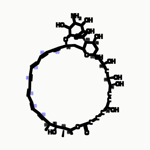 CC1OC(O[C@H]2/C=C/C=C/C=C/C=C/C=C/C=C/C=C/[C@H](C)[C@@H](O)[C@@H](C)[C@H](C)OC(=O)CCC[C@H](O)CC[C@@H](O)[C@H](O)C[C@H](O)C[C@]3(O)C[C@H](O)[C@@H](C(=O)O)C(C2)O3)C(O)C(N)C1O